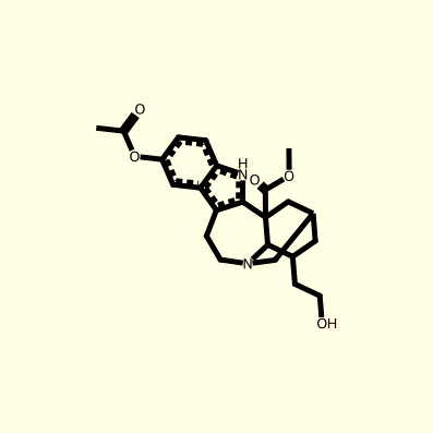 COC(=O)C12CC3CC(CCO)C1N(CCc1c2[nH]c2ccc(OC(C)=O)cc12)C3